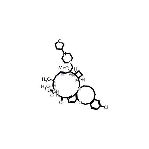 CO[C@@]1(CN2CCN(C3CCOC3)CC2)/C=C/C[C@H](C)[C@@H](C)S(=O)(=O)NC(=O)c2ccc3c(c2)N(CCCCc2cc(Cl)ccc2CO3)C[C@@H]2CC[C@H]21